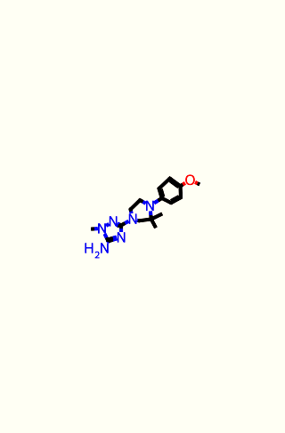 COc1ccc(N2CCN(c3nc(N)n(C)n3)CC2(C)C)cc1